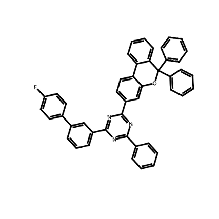 Fc1ccc(-c2cccc(-c3nc(-c4ccccc4)nc(-c4ccc5c(c4)OC(c4ccccc4)(c4ccccc4)c4ccccc4-5)n3)c2)cc1